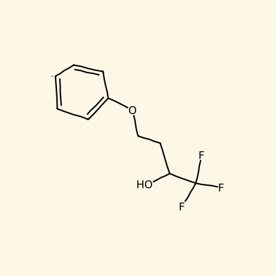 OC(CCOc1cc[c]cc1)C(F)(F)F